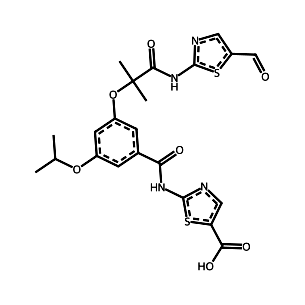 CC(C)Oc1cc(OC(C)(C)C(=O)Nc2ncc(C=O)s2)cc(C(=O)Nc2ncc(C(=O)O)s2)c1